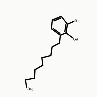 CCCCCCCCCCCCCCCCCCc1cccc(S)c1O